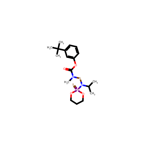 CC(C)N(SN(C)C(=O)Oc1cccc(C(C)(C)C)c1)P1(=S)OCCCO1